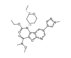 CCOC(=O)N(c1c(C(=O)N(C)OC)oc2ncc(-c3cnn(C)c3)cc12)[C@H]1CCO[C@@H](CC)C1